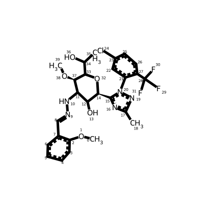 COc1ccccc1/C=N/NC1C(O)[C@H](c2nc(C)nn2-c2cc(Cl)ccc2C(F)(F)F)OC(C(C)O)[C@@H]1OC